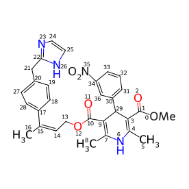 COC(=O)C1=C(C)NC(C)=C(C(=O)OCC=C(C)c2ccc(Cc3ncc[nH]3)cc2)C1c1cccc([N+](=O)[O-])c1